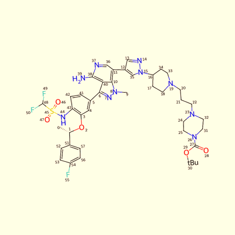 C[C@H](Oc1cc(-c2nn(C)c3c(-c4cnn(C5CCN(CCCN6CCN(C(=O)OC(C)(C)C)CC6)CC5)c4)cnc(N)c23)ccc1NS(=O)(=O)C(F)F)c1ccc(F)cc1